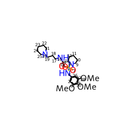 COc1cc(NS(=O)(=O)N2CCCC[C@H]2C(=O)NCCCN2CCCCC2)cc(OC)c1OC